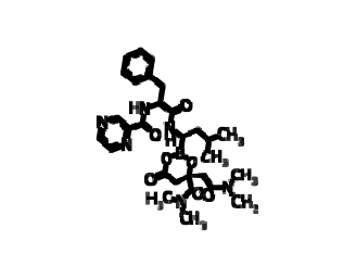 CC(C)C[C@H](NC(=O)C(Cc1ccccc1)NC(=O)c1cnccn1)B1OC(=O)C[C@@](CC(=O)N(C)C)(C(=O)N(C)C)O1